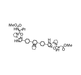 COC(=O)C[C@H](C(=O)N1CCC[C@H]1c1ncc(-c2ccc(-c3ccc(-c4ccc(-c5c[nH]c([C@@H]6CCCN6C(=O)[C@@H](NC(=O)OC)C(C)C)n5)cc4)c4c3C3CCC4N3C)cc2)[nH]1)C(C)C